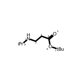 [CH2]C([CH2])NCCC(=O)OC(C)(C)C